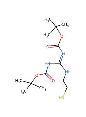 CC(C)(C)OC(=O)N=C(NCCS)NC(=O)OC(C)(C)C